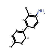 CC1=CC=C(c2ccc(N)c(C)c2)CC1